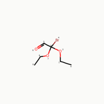 CCOC(Br)([C]=O)OCC